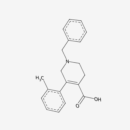 Cc1ccccc1C1=C(C(=O)O)CCN(Cc2ccccc2)C1